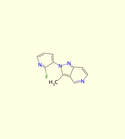 Cc1c2cnccc2nn1-c1cccnc1F